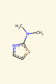 CN(C)c1nccs1